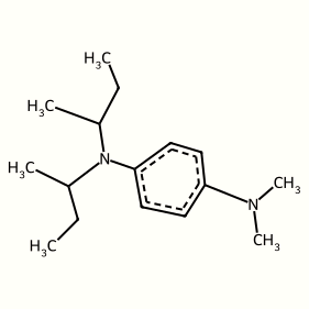 CCC(C)N(c1ccc(N(C)C)cc1)C(C)CC